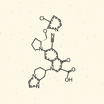 N#Cc1cc2c(=O)c(C(=O)O)cn(C3CCn4ccnc4C3)c2cc1N1CCC[C@@H]1COc1ncccc1Cl